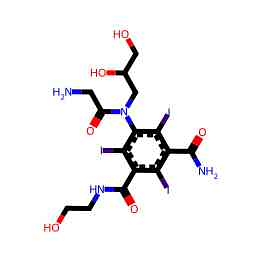 NCC(=O)N(CC(O)CO)c1c(I)c(C(N)=O)c(I)c(C(=O)NCCO)c1I